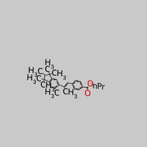 CCCOC(=O)c1ccc(C=C(C)c2cc3c(cc2C)C(C)(C)C(C)C3(C)C)cc1